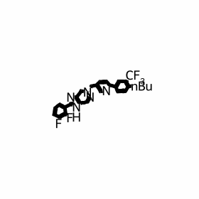 CCCCc1ccc(-c2ccc(CN3Cc4nc(-c5cccc(F)c5F)[nH]c4C=N3)cn2)cc1C(F)(F)F